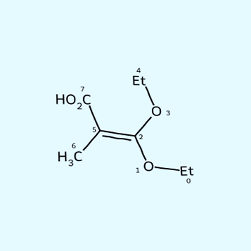 CCOC(OCC)=C(C)C(=O)O